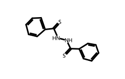 S=C(NNC(=S)c1ccccc1)c1ccccc1